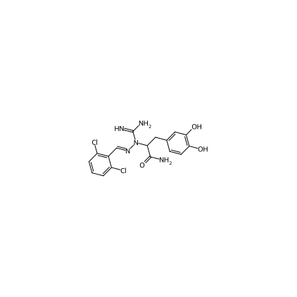 N=C(N)N(/N=C/c1c(Cl)cccc1Cl)C(Cc1ccc(O)c(O)c1)C(N)=O